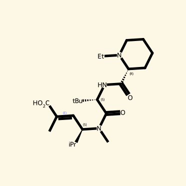 CCN1CCCC[C@@H]1C(=O)N[C@H](C(=O)N(C)[C@H](/C=C(\C)C(=O)O)C(C)C)C(C)(C)C